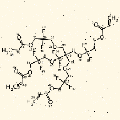 C=CC(=O)OCCC(F)(F)OCC(COCC(F)(F)COC(=O)C=C)(COCC(F)(F)COC(=O)C=C)C(F)(F)OCC(F)(F)COC(=O)C=C